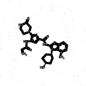 C=CC(=O)Nc1cc(C(=O)Nc2nc3cccc(C)c3n2[C@H]2CC[C@H](O)CC2)sc1N1CCNC(=O)C1